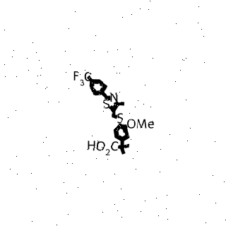 COc1cc(C(C)(C)C(=O)O)ccc1SCc1sc(-c2ccc(C(F)(F)F)cc2)nc1C